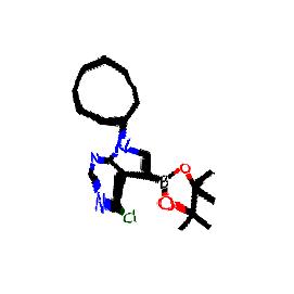 CC1(C)OB(c2cn(C3CCCCCCCC3)c3ncnc(Cl)c23)OC1(C)C